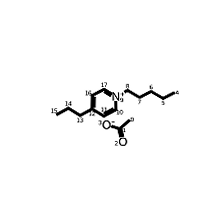 CC(=O)[O-].CCCCC[n+]1ccc(CCC)cc1